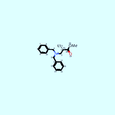 CC[C@@H](CN(Cc1ccccc1)Cc1ccccc1)C(=O)OC